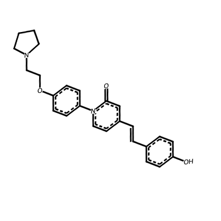 O=c1cc(C=Cc2ccc(O)cc2)ccn1-c1ccc(OCCN2CCCC2)cc1